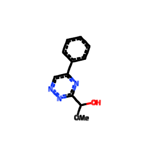 COC(O)c1nncc(-c2ccccc2)n1